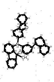 CC1(C)c2ccccc2-c2cccc(N(c3cccc(-c4cccc5ccccc45)c3)c3ccc4c(c3)oc3ccccc34)c21